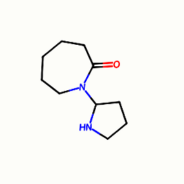 O=C1CCCCCN1C1CCCN1